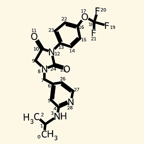 CC(C)Nc1cc(CN2CC(=O)N(c3ccc(OC(F)(F)F)cc3)C2=O)ccn1